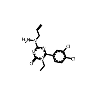 C=CCN(N)c1nc(-c2ccc(Cl)c(Cl)c2)n(CC)c(=O)n1